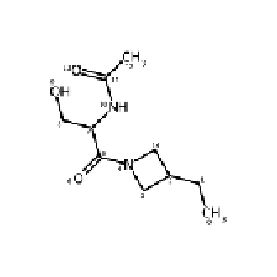 CCC1CN(C(=O)C(CO)NC(C)=O)C1